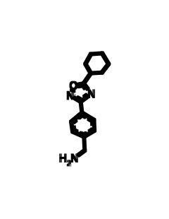 NCc1ccc(-c2noc(C3CCCCC3)n2)cc1